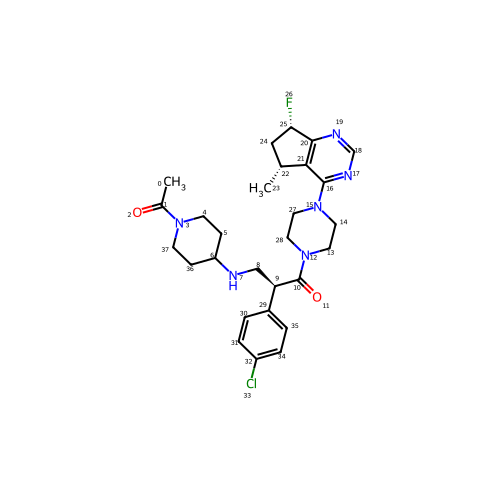 CC(=O)N1CCC(NC[C@@H](C(=O)N2CCN(c3ncnc4c3[C@H](C)C[C@@H]4F)CC2)c2ccc(Cl)cc2)CC1